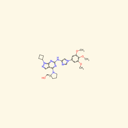 COc1cc(-n2cnc(Nc3nc(N4CCC[C@H]4CO)c4cnn(C5CCC5)c4n3)c2)cc(OC)c1OC